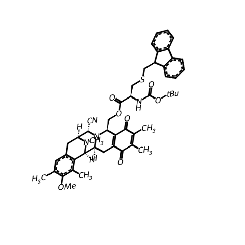 COc1c(C)cc2c(c1C)[C@@H]1[C@@H]3CC4=C(C(=O)C(C)=C(C)C4=O)[C@H](COC(=O)[C@@H](CSCC4c5ccccc5-c5ccccc54)NC(=O)OC(C)(C)C)N3[C@@H](C#N)[C@H](C2)N1C